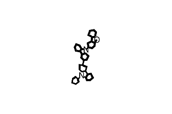 C1=CC(N2c3ccccc3C3C=C(c4ccc5c(c4)c4ccccc4n5-c4ccc5oc6ccccc6c5c4)C=CC32)=CCC1